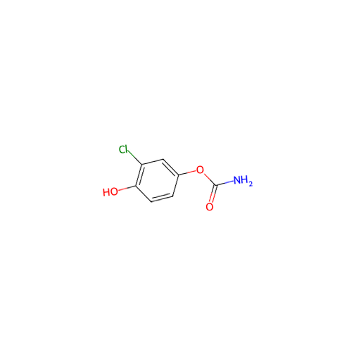 NC(=O)Oc1ccc(O)c(Cl)c1